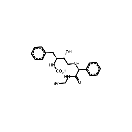 CC(C)CNC(=O)[C@@H](NC[C@@H](O)[C@H](Cc1ccccc1)NC(=O)O)c1ccccc1